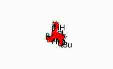 CN(CCCC(=O)Nc1cccnc1)c1nc(OC[C@@]23CCCN2C[C@H](F)C3)nc2c(F)c(-c3ccc(F)c4sc(NC(=O)OC(C)(C)C)c(C#N)c34)c(Cl)cc12